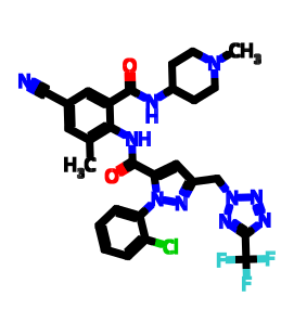 Cc1cc(C#N)cc(C(=O)NC2CCN(C)CC2)c1NC(=O)c1cc(Cn2nnc(C(F)(F)F)n2)nn1-c1ccccc1Cl